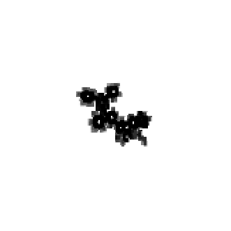 CC1(C)c2ccc(-c3ccc4c(c3)c3ccccc3n4-c3nc(-c4ccccc4)nc(-c4ccccc4)n3)cc2-c2cc3ncoc3cc21